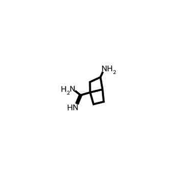 N=C(N)C12CCC1C(N)C2